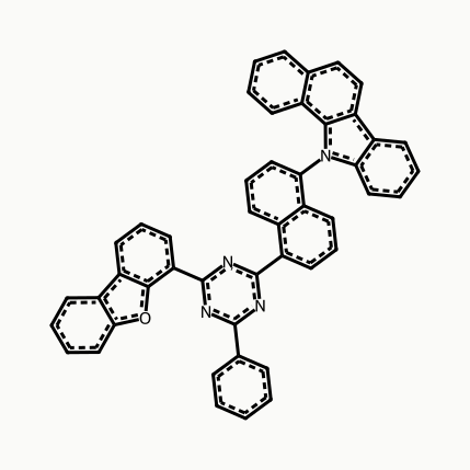 c1ccc(-c2nc(-c3cccc4c(-n5c6ccccc6c6ccc7ccccc7c65)cccc34)nc(-c3cccc4c3oc3ccccc34)n2)cc1